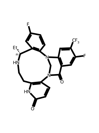 CC[C@H]1NCCc2[nH]c(=O)ccc2N2CN(c3cc(C(F)(F)F)c(F)cc3C2=O)c2ccc(F)cc21